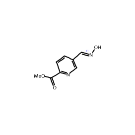 COC(=O)c1ccc(/C=N/O)cn1